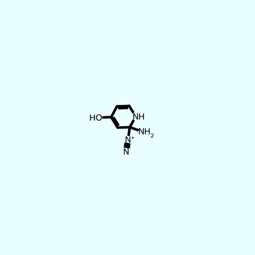 N#[N+]C1(N)C=C(O)C=CN1